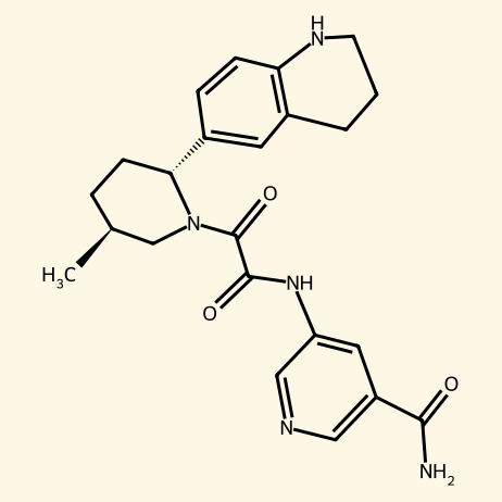 C[C@H]1CC[C@H](c2ccc3c(c2)CCCN3)N(C(=O)C(=O)Nc2cncc(C(N)=O)c2)C1